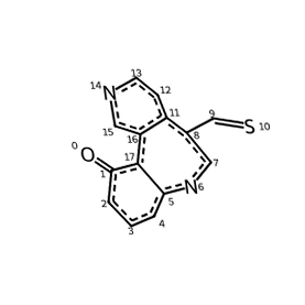 O=c1cccc2ncc(C=S)c3ccncc3c1-2